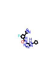 Cn1cc(-c2cc(F)cc(C(=O)Nc3ncnc4nc(C5CCCC5)[nH]c34)c2)cn1